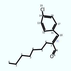 CCCCCCC/C(C=O)=C\c1ccc(Cl)cc1